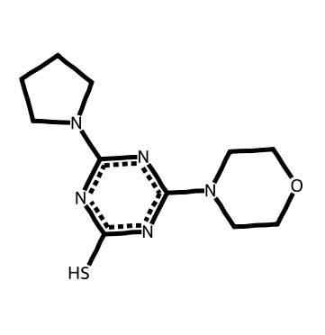 Sc1nc(N2CCCC2)nc(N2CCOCC2)n1